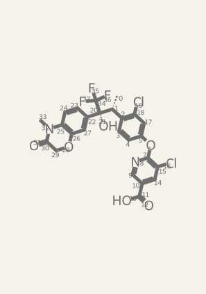 C[C@H](c1ccc(Oc2ncc(C(=O)O)cc2Cl)cc1Cl)[C@@](O)(c1ccc2c(c1)OCC(=O)N2C)C(F)(F)F